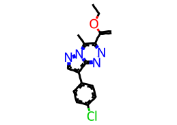 C=C(OCC)c1nnc2c(-c3ccc(Cl)cc3)cnn2c1C